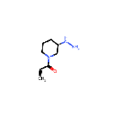 C=CC(=O)N1CCC[C@@H](NN)C1